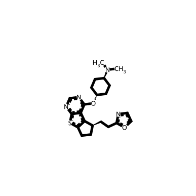 CN(C)[C@H]1CC[C@H](Oc2ncnc3sc4c(c23)[C@@H](CCc2ncco2)CC4)CC1